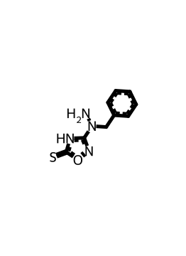 NN(Cc1ccccc1)c1noc(=S)[nH]1